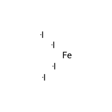 [Fe].[I].[I].[I].[I]